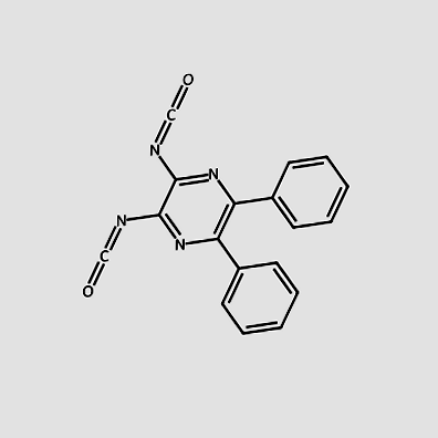 O=C=Nc1nc(-c2ccccc2)c(-c2ccccc2)nc1N=C=O